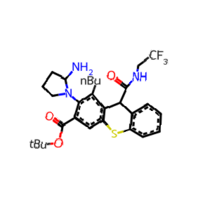 CCCCc1c2c(cc(C(=O)OC(C)(C)C)c1N1CCCC1N)Sc1ccccc1C2C(=O)NCC(F)(F)F